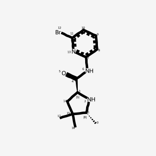 C[C@H]1N[C@H](C(=O)Nc2cccc(Br)n2)CC1(C)C